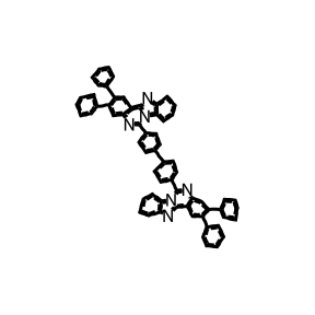 c1ccc(-c2cc3nc(-c4ccc(-c5ccc(-c6nc7cc(-c8ccccc8)c(-c8ccccc8)cc7c7nc8ccccc8n67)cc5)cc4)n4c5ccccc5nc4c3cc2-c2ccccc2)cc1